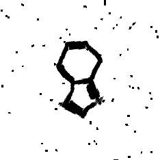 [C]1=CN=C2CC=CC=C12